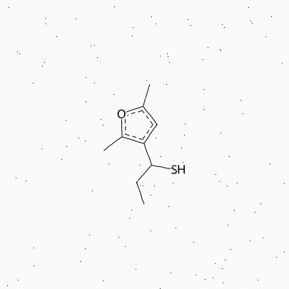 CCC(S)c1cc(C)oc1C